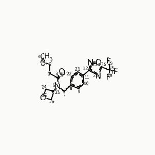 COCCC(=O)N(Cc1ccc(-c2noc(C(F)(F)F)n2)cc1)C1COC1